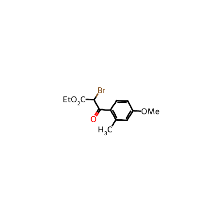 CCOC(=O)C(Br)C(=O)c1ccc(OC)cc1C